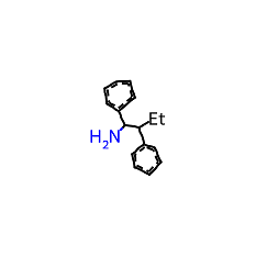 CCC(c1ccccc1)C(N)c1ccccc1